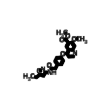 CCc1cc(NC(=O)Cc2ccc(Oc3ccnc4cc(OC)c(C(=O)OC)cc34)cc2)no1